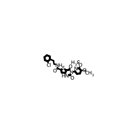 COc1ccc(-n2c(=O)[nH]c3cc(C(=O)NCCc4ccccc4Cl)sc3c2=O)nc1OC